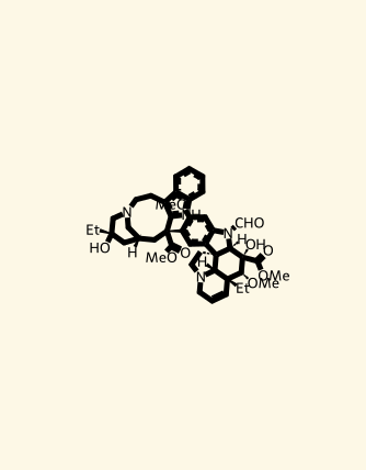 CC[C@]1(O)C[C@@H]2CN(CCc3c([nH]c4ccccc34)[C@@](C(=O)OC)(c3cc4c(cc3OC)N(C=O)[C@H]3[C@@](O)(C(=O)OC)[C@H](OC)[C@]5(CC)C=CCN6CC[C@]43[C@@H]65)C2)C1